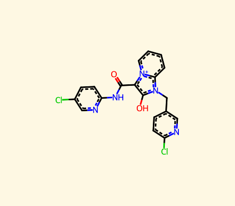 O=C(Nc1ccc(Cl)cn1)c1c(O)n(Cc2ccc(Cl)nc2)c2cccc[n+]12